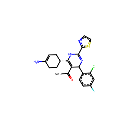 COC(=O)C1=C([C@H]2CC=C(N)CC2)NC(c2nccs2)=NC1c1ccc(F)cc1Cl